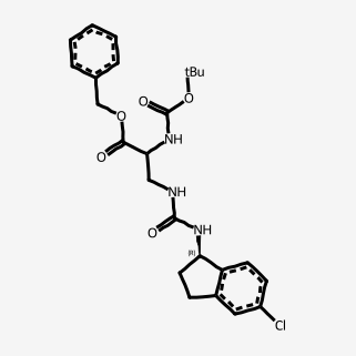 CC(C)(C)OC(=O)NC(CNC(=O)N[C@@H]1CCc2cc(Cl)ccc21)C(=O)OCc1ccccc1